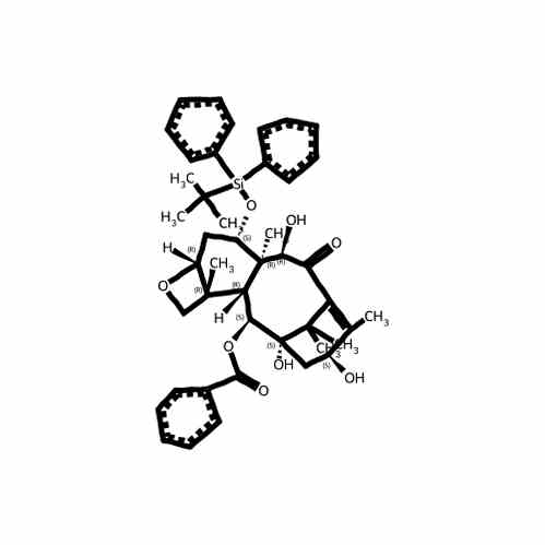 CC1=C2C(=O)[C@H](O)[C@]3(C)[C@@H](O[Si](c4ccccc4)(c4ccccc4)C(C)(C)C)C[C@H]4OC[C@@]4(C)[C@H]3[C@H](OC(=O)c3ccccc3)[C@](O)(C[C@@H]1O)C2(C)C